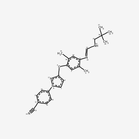 Cc1cc(Oc2ccn(-c3ccc(C#N)cc3)n2)c(C)cc1/N=C/NCC(C)(C)C